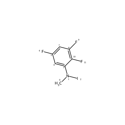 CN(I)c1cc(F)cc(F)c1F